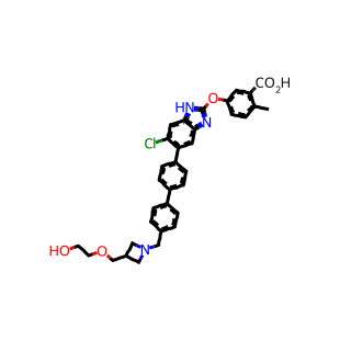 Cc1ccc(Oc2nc3cc(-c4ccc(-c5ccc(CN6CC(COCCO)C6)cc5)cc4)c(Cl)cc3[nH]2)cc1C(=O)O